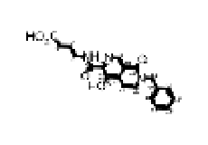 O=C(O)CCCNC(=O)c1ncc2c(=O)n(Cc3ccccc3)ccc2c1O